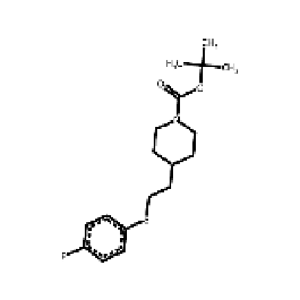 CC(C)(C)OC(=O)N1CCC(CCSc2ccc(F)cc2)CC1